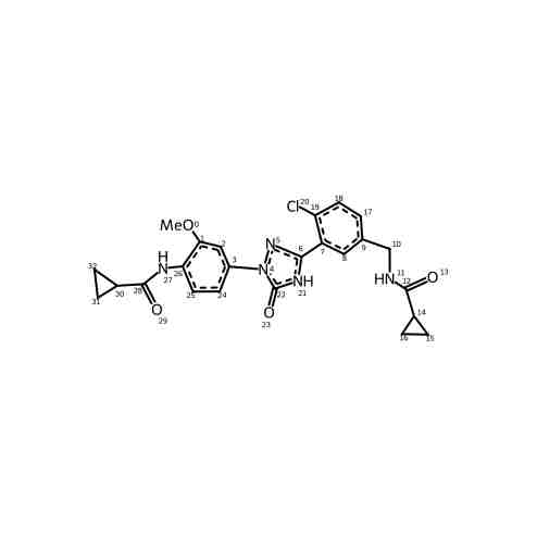 COc1cc(-n2nc(-c3cc(CNC(=O)C4CC4)ccc3Cl)[nH]c2=O)ccc1NC(=O)C1CC1